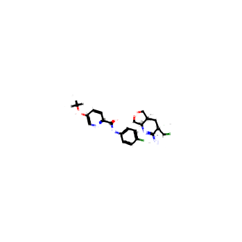 [2H]C([2H])([2H])Oc1ccc(C(=O)Nc2ccc(F)c([C@]34COC[C@H]3C[C@@](F)(CF)C(N)=N4)c2)nc1